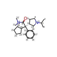 CC(C)N1CC[C@@H](C(C(=O)N(C)C)(c2ccccc2)C2CCCC2)C1